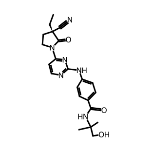 CC[C@]1(C#N)CCN(c2ccnc(Nc3ccc(C(=O)NC(C)(C)CO)cc3)n2)C1=O